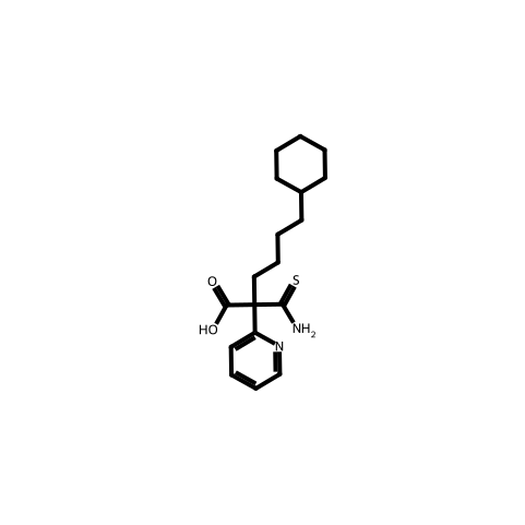 NC(=S)C(CCCCC1CCCCC1)(C(=O)O)c1ccccn1